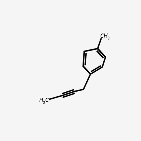 CC#CCc1ccc(C)cc1